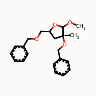 COC1O[C@H](COCc2ccccc2)C[C@@]1(C)OCc1ccccc1